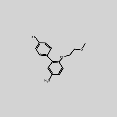 COCCNc1ccc(N)cc1-c1ccc(N)cc1